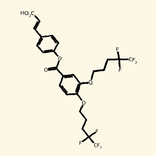 O=C(O)C=Cc1ccc(OC(=O)c2ccc(OCCCC(F)(F)C(F)(F)F)c(OCCCC(F)(F)C(F)(F)F)c2)cc1